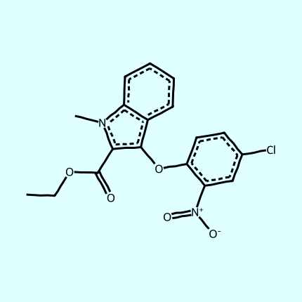 CCOC(=O)c1c(Oc2ccc(Cl)cc2[N+](=O)[O-])c2ccccc2n1C